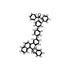 O=P(c1ccccc1)(c1ccccc1)c1ccc(-c2ccc(-c3ccc4c(c3)c3ccc5ccccc5c3c3nc5ccccc5n43)cc2)cc1